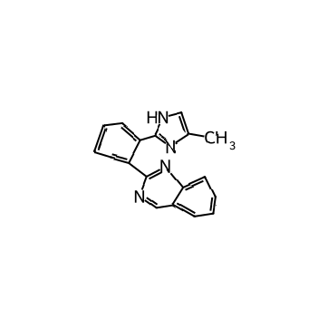 Cc1c[nH]c(-c2ccccc2-c2ncc3ccccc3n2)n1